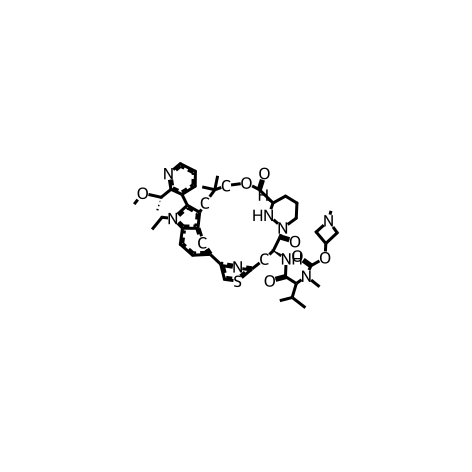 CCn1c(-c2cccnc2[C@H](C)OC)c2c3cc(ccc31)-c1csc(n1)C[C@H](NC(=O)C(C(C)C)N(C)C(=O)OC1CN(C)C1)C(=O)N1CCC[C@H](N1)C(=O)OCC(C)(C)C2